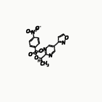 C[C@@H](OS(=O)(=O)c1ccc([N+](=O)[O-])cc1)c1ncc(-c2ccon2)cn1